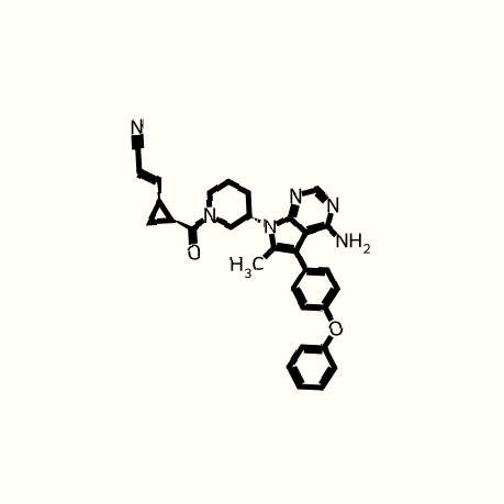 Cc1c(-c2ccc(Oc3ccccc3)cc2)c2c(N)ncnc2n1[C@H]1CCCN(C(=O)[C@H]2C[C@H]2C=CC#N)C1